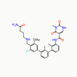 COc1cc(-c2cccc(-c3cccc(NC(=O)c4c[nH]c(=O)n(C)c4=O)c3C)c2C)cc(F)c1CNCCCC(N)=O